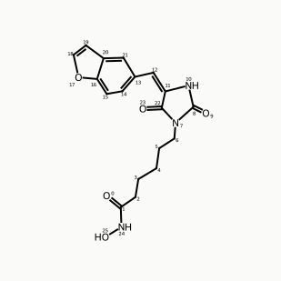 O=C(CCCCCN1C(=O)NC(=Cc2ccc3occc3c2)C1=O)NO